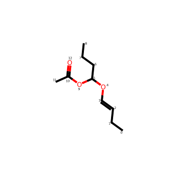 CCC=COC(CCC)OC(C)=O